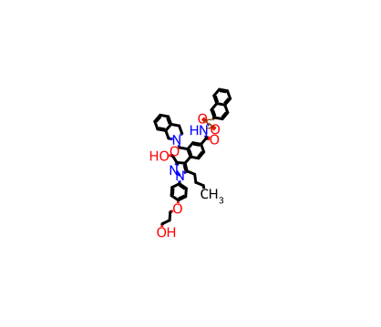 CCCCc1c(-c2ccc(C(=O)NS(=O)(=O)c3ccc4ccccc4c3)cc2C(=O)N2CCc3ccccc3C2)c(CO)nn1-c1ccc(OCCCO)cc1